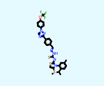 CSc1cs/c(=N\C(=S)N/N=C/c2ccc(-c3ncn(-c4ccc(OC(F)(F)F)cc4)n3)cc2)n1-c1cc(C)ccc1C(C)C